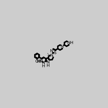 C[C@H]1c2c([nH]c3c2C=C(c2ccccc2O)NN3)CCN1c1ncc(C2CCN(C3CCNCC3)CC2)s1